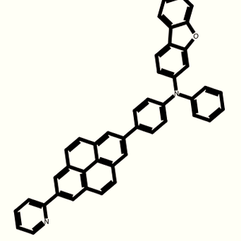 c1ccc(N(c2ccc(-c3cc4ccc5cc(-c6ccccn6)cc6ccc(c3)c4c56)cc2)c2ccc3c(c2)oc2ccccc23)cc1